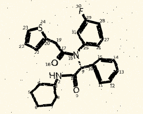 O=C(NC1CCCCC1)[C@@H](c1ccccc1)N(C(=O)Cc1cccs1)c1cccc(F)c1